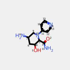 NC(=O)C1C(O)CC(N)CN1c1[c]cncc1